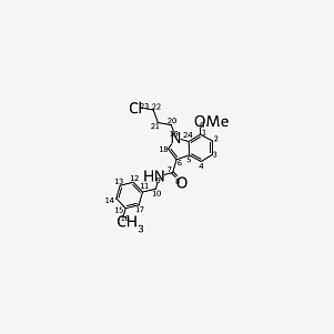 COc1cccc2c(C(=O)NCc3cccc(C)c3)cn(CCCCl)c12